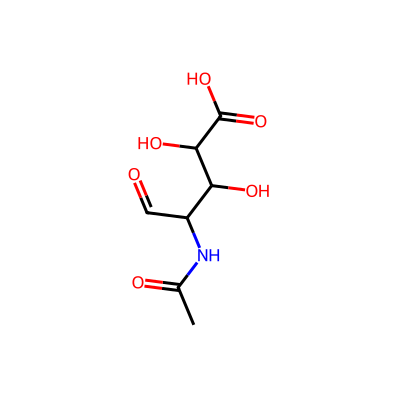 CC(=O)NC(C=O)C(O)C(O)C(=O)O